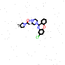 C[C@@H]1CCN(C(=O)C[C@H]2CN(C3=Nc4cc(Cl)ccc4Oc4ccccc43)CCN2)C1